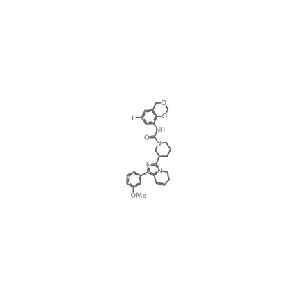 COc1cccc(-c2nc(C3CCCN(C(=O)Nc4cc(F)cc5c4OCOC5)C3)n3c2C=CCC3)c1